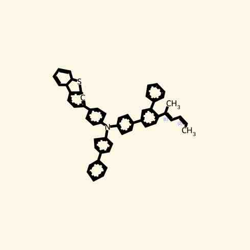 C/C=C\C=C(/C)c1ccc(-c2ccc(N(c3ccc(-c4ccccc4)cc3)c3ccc(-c4ccc5c(c4)SC4C=CC=CC54)cc3)cc2)cc1-c1ccccc1